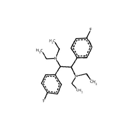 CCN(CC)C(c1ccc(F)cc1)C(c1ccc(F)cc1)N(CC)CC